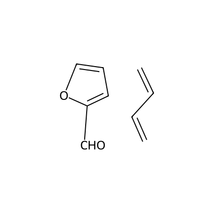 C=CC=C.O=Cc1ccco1